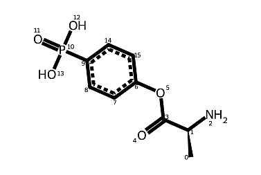 C[C@H](N)C(=O)Oc1ccc(P(=O)(O)O)cc1